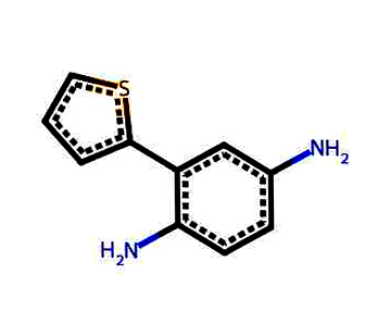 Nc1ccc(N)c(-c2cccs2)c1